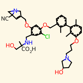 Cc1ccc(OCCCN2CC[C@@H](O)C2)c(C)c1-c1cccc(COc2cc(OCC3=CC4(C#N)CN4C3)c(CN[C@](C)(CO)C(=O)O)cc2Cl)c1C